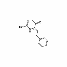 CC(=O)[C@@H](CCc1ccccc1)NC(=O)O